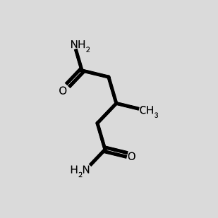 CC(CC(N)=O)CC(N)=O